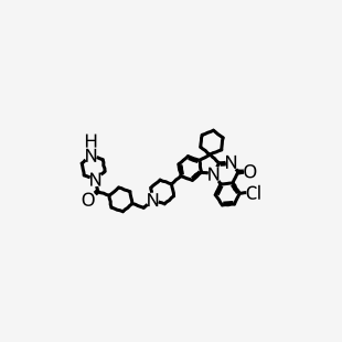 O=C(C1CCC(CN2CCC(c3ccc4c(c3)-n3c(nc(=O)c5c(Cl)cccc53)C43CCCCC3)CC2)CC1)N1CCNCC1